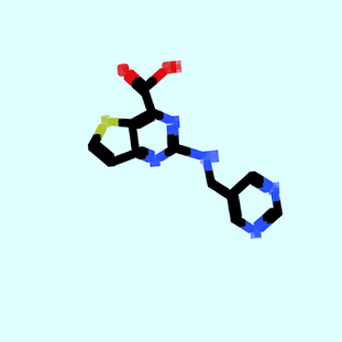 O=C(O)c1nc(NCc2cncnc2)nc2ccsc12